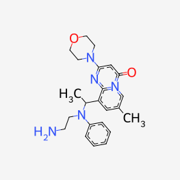 Cc1cc(C(C)N(CCN)c2ccccc2)c2nc(N3CCOCC3)cc(=O)n2c1